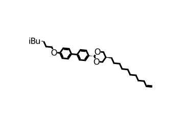 C=CCCCCCCCCC[C@H]1CO[C@H](c2ccc(-c3ccc(OCCC[C@@H](C)CC)cc3)cc2)OC1